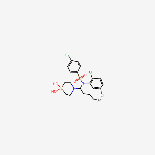 CC(=O)CCCC(N1CCS(O)(O)CC1)N(c1cc(Cl)ccc1Cl)S(=O)(=O)c1ccc(Cl)cc1